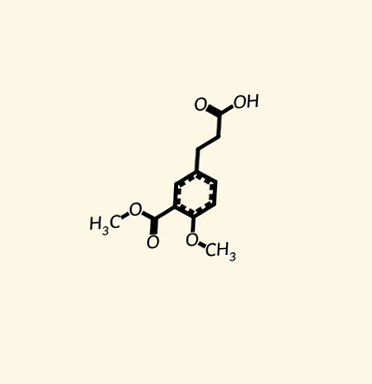 COC(=O)c1cc(CCC(=O)O)ccc1OC